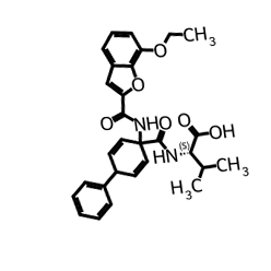 CCOc1cccc2cc(C(=O)NC3(C(=O)N[C@H](C(=O)O)C(C)C)C=CC(c4ccccc4)C=C3)oc12